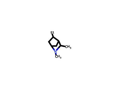 CCC1CC2CC1C(C)N2C